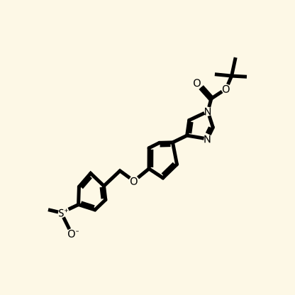 C[S+]([O-])c1ccc(COc2ccc(-c3cn(C(=O)OC(C)(C)C)cn3)cc2)cc1